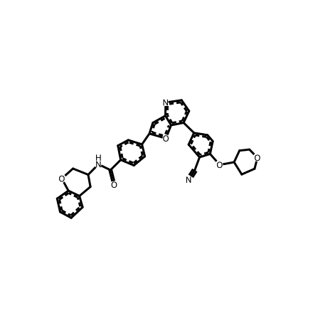 N#Cc1cc(-c2ccnc3cc(-c4ccc(C(=O)NC5COc6ccccc6C5)cc4)oc23)ccc1OC1CCOCC1